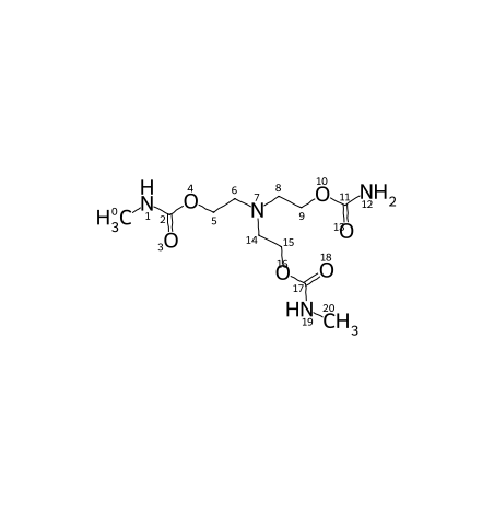 CNC(=O)OCCN(CCOC(N)=O)CCOC(=O)NC